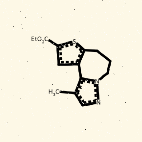 CCOC(=O)c1cc2c(s1)CCCn1ncc(C)c1-2